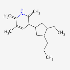 C=C1NC(=C)C(C2CC(CC)C(CCC)C2)C=C1C